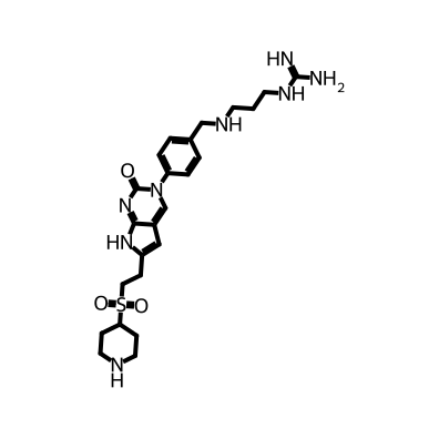 N=C(N)NCCCNCc1ccc(-n2cc3cc(CCS(=O)(=O)C4CCNCC4)[nH]c3nc2=O)cc1